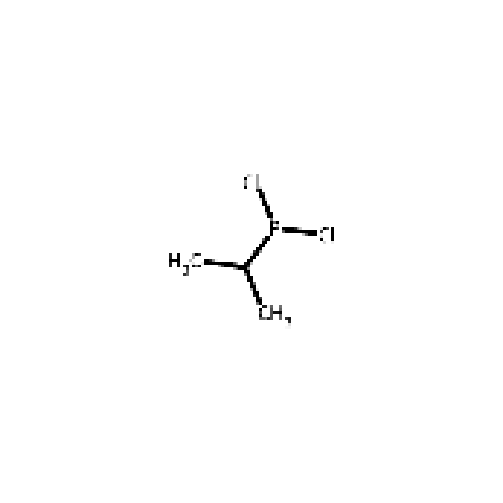 CC(C)P(Cl)Cl